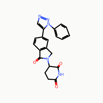 O=C1CCC(N2Cc3cc(-c4cnnn4-c4ccccc4)ccc3C2=O)C(=O)N1